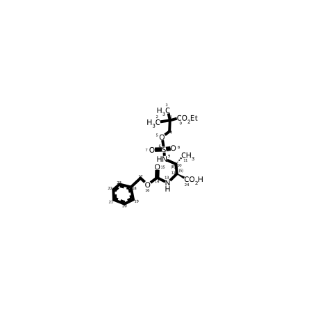 CCOC(=O)C(C)(C)COS(=O)(=O)N[C@H](C)[C@H](NC(=O)OCc1ccccc1)C(=O)O